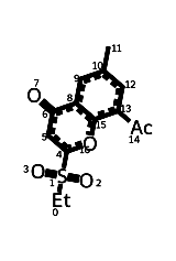 CCS(=O)(=O)c1cc(=O)c2cc(C)cc(C(C)=O)c2o1